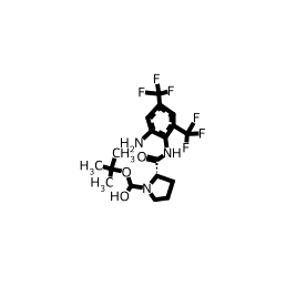 CC(C)(C)OC(O)N1CCC[C@H]1C(=O)Nc1c(N)cc(C(F)(F)F)cc1C(F)(F)F